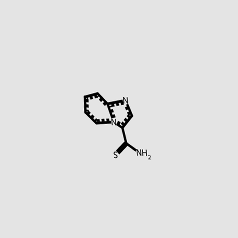 NC(=S)c1cnc2ccccn12